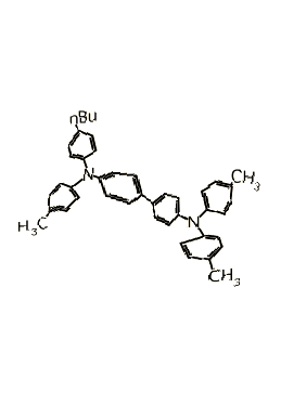 CCCCc1ccc(N(c2ccc(C)cc2)c2ccc(-c3ccc(N(c4ccc(C)cc4)c4ccc(C)cc4)cc3)cc2)cc1